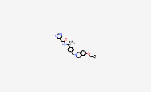 C[C@H](NC(=O)Cc1cncnc1)c1ccc(CN2CCc3cc(OCC4CC4)ccc3C2)cc1